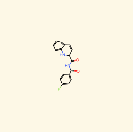 O=C(NC(=O)C1C=Cc2ccccc2N1)c1ccc(F)cc1